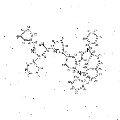 c1ccc(-c2cc(-c3cccc(-c4ccc(-n5c6ccccc6c6ccc7ccc8c(ccn8-c8ccccc8)c7c65)cc4)c3)nc(-c3ccccc3)n2)cc1